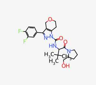 CC(C)(C)C(NC(=O)n1nc(-c2ccc(F)c(F)c2)c2c1CCOC2)C(=O)N1CCCC1CO